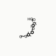 COCCCOc1cc(C)c(-c2cccc(COc3cc4c(cn3)[C@H](CC(=O)O)CS4)c2)c(C)c1